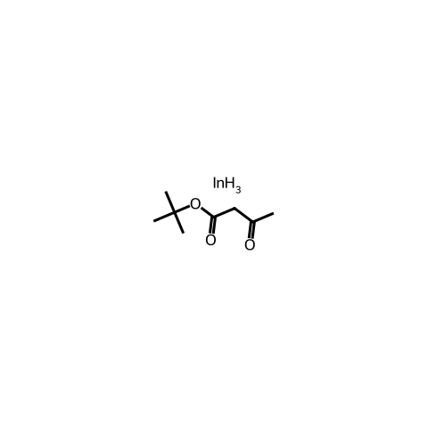 CC(=O)CC(=O)OC(C)(C)C.[InH3]